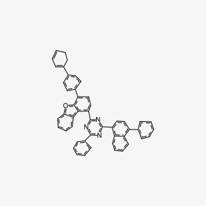 C1=CCCC(c2ccc(-c3ccc(-c4nc(-c5ccccc5)nc(-c5ccc(-c6ccccc6)c6ccccc56)n4)c4c3oc3ccccc34)cc2)=C1